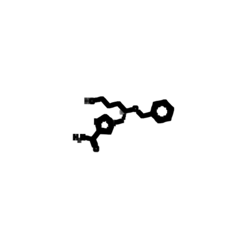 NC(=O)c1cn(C[C@H](CCCO)OCc2ccccc2)cn1